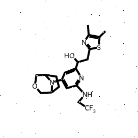 Cc1nc(CC(O)c2cc(N3C4CCC3COC4)cc(NCC(F)(F)F)n2)sc1C